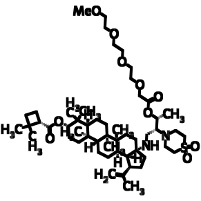 C=C(C)[C@@H]1CC[C@]2(NC[C@H]([C@@H](C)OC(=O)COCCOCCOCCOC)N3CCS(=O)(=O)CC3)CC[C@]3(C)[C@H](CC[C@@H]4[C@@]5(C)CC[C@H](OC(=O)[C@H]6CCC6(C)C)C(C)(C)[C@@H]5CC[C@]43C)[C@@H]12